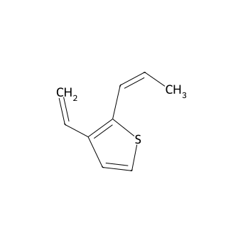 C=Cc1ccsc1/C=C\C